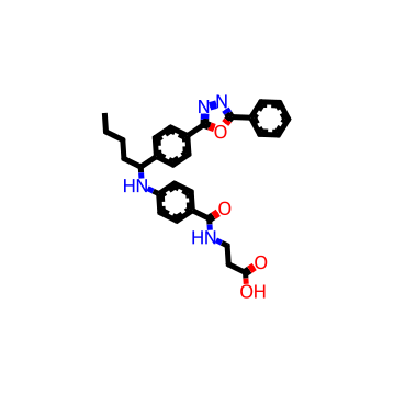 CCCCC(Nc1ccc(C(=O)NCCC(=O)O)cc1)c1ccc(-c2nnc(-c3ccccc3)o2)cc1